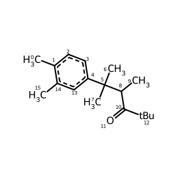 Cc1ccc(C(C)(C)C(C)C(=O)C(C)(C)C)cc1C